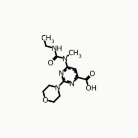 CCNC(=O)N(C)c1cc(C(=O)O)nc(N2CCOCC2)n1